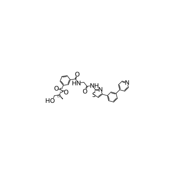 C[C@@H](CO)S(=O)(=O)c1cccc(C(=O)NCC(=O)Nc2nc(-c3cccc(-c4ccncc4)c3)cs2)c1